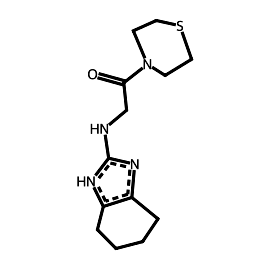 O=C(CNc1nc2c([nH]1)CCCC2)N1CCSCC1